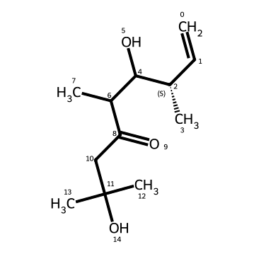 C=C[C@H](C)C(O)C(C)C(=O)CC(C)(C)O